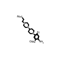 CCc1cc(N)c(OC)cc1N1CCC(N2CCN(CCSC)CC2)CC1